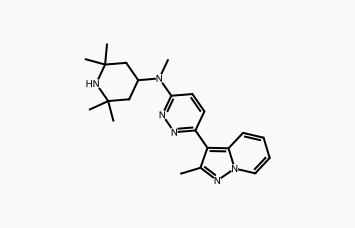 Cc1nn2ccccc2c1-c1ccc(N(C)C2CC(C)(C)NC(C)(C)C2)nn1